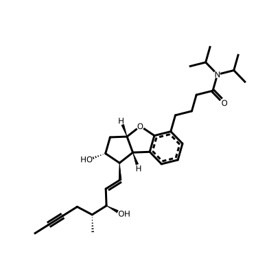 CC#CC[C@@H](C)[C@H](O)/C=C/[C@@H]1[C@H]2c3cccc(CCCC(=O)N(C(C)C)C(C)C)c3O[C@H]2C[C@H]1O